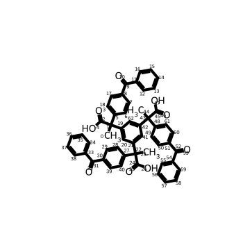 CC(C(=O)O)(c1ccc(C(=O)c2ccccc2)cc1)c1cc(C(C)(C(=O)O)c2ccc(C(=O)c3ccccc3)cc2)cc(C(C)(C(=O)O)c2ccc(C(=O)c3ccccc3)cc2)c1